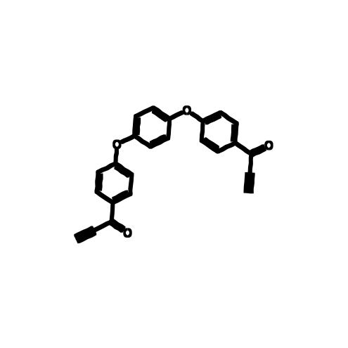 C#CC(=O)c1ccc(Oc2ccc(Oc3ccc(C(=O)C#C)cc3)cc2)cc1